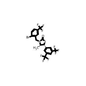 C[C@H]1[C@@H](c2cc(C(F)(F)F)cc(C(F)(F)F)c2)SC(=O)N1Cc1cc(C(F)(F)F)ccc1Br